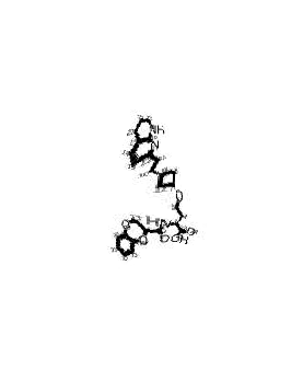 O=C(N[C@@H](CCO[C@H]1C[C@H](CCc2ccc3c(n2)NCCC3)C1)C(=O)O)C1COc2ccccc2O1